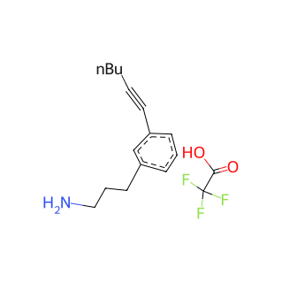 CCCCC#Cc1cccc(CCCN)c1.O=C(O)C(F)(F)F